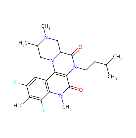 Cc1c(F)cc2c3c(c(=O)n(C)c2c1F)N(CCC(C)C)C(=O)C1CN(C)C(C)CN31